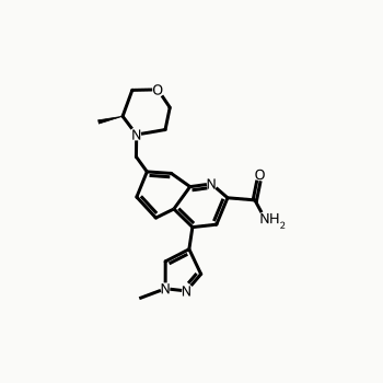 C[C@H]1COCCN1Cc1ccc2c(-c3cnn(C)c3)cc(C(N)=O)nc2c1